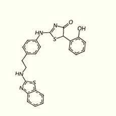 O=C1N=C(Nc2ccc(CCNc3nc4ccccc4s3)cc2)SC1c1ccccc1O